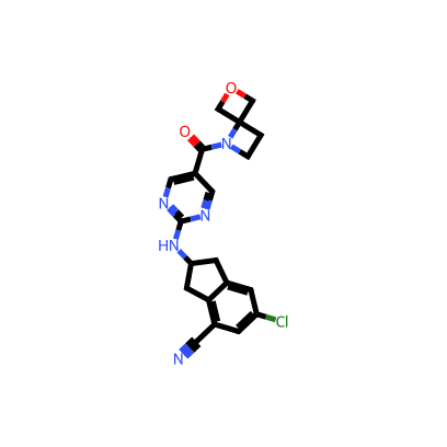 N#Cc1cc(Cl)cc2c1CC(Nc1ncc(C(=O)N3CCC34COC4)cn1)C2